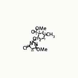 COC(=O)c1cc(C)ccc1Oc1nc(Cl)cc(OC)n1